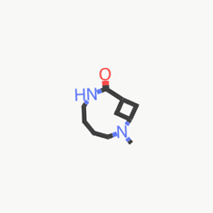 CN1CCCCNC(=O)C2CC1C2